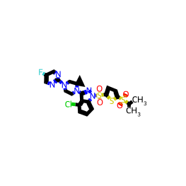 CC(C)S(=O)(=O)c1ccc(S(=O)(=O)n2nc(N3CCN(c4ncc(F)cn4)CC34CC4)c3c(Cl)cccc32)s1